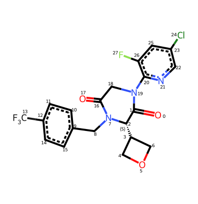 O=C1[C@H](C2COC2)N(Cc2ccc(C(F)(F)F)cc2)C(=O)CN1c1ncc(Cl)cc1F